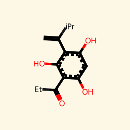 C=C(c1c(O)cc(O)c(C(=O)CC)c1O)C(C)C